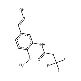 COc1ccc(/C=N/O)cc1NC(=O)CC(F)(F)F